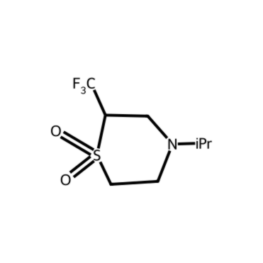 CC(C)N1CCS(=O)(=O)C(C(F)(F)F)C1